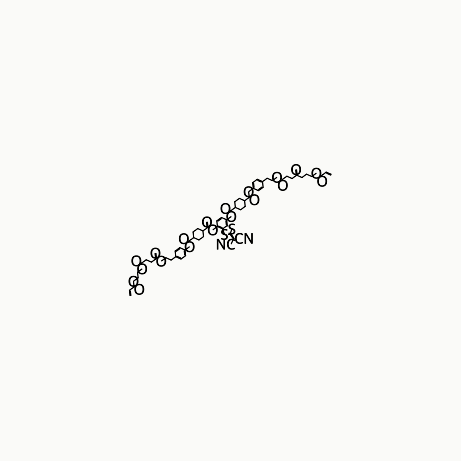 C=CC(=O)OCCCC(=O)CCC(=O)OCCc1ccc(OC(=O)C2CCC(C(=O)Oc3ccc(OC(=O)C4CCC(C(=O)Oc5ccc(CCOC(=O)CCC(=O)OCCOC(=O)C=C)cc5)CC4)c4c3SC(=C(C#N)C#N)S4)CC2)cc1